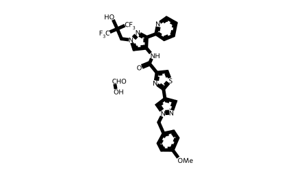 COc1ccc(Cn2cc(-c3nc(C(=O)Nc4cn(CC(O)(C(F)(F)F)C(F)(F)F)nc4-c4ccccn4)cs3)cn2)cc1.O=CO